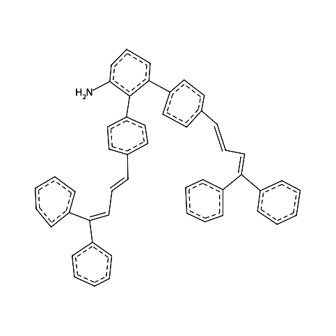 Nc1cccc(-c2ccc(C=CC=C(c3ccccc3)c3ccccc3)cc2)c1-c1ccc(C=CC=C(c2ccccc2)c2ccccc2)cc1